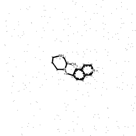 C[C@@H]1CNCCCN1Sc1ccc2cnccc2c1